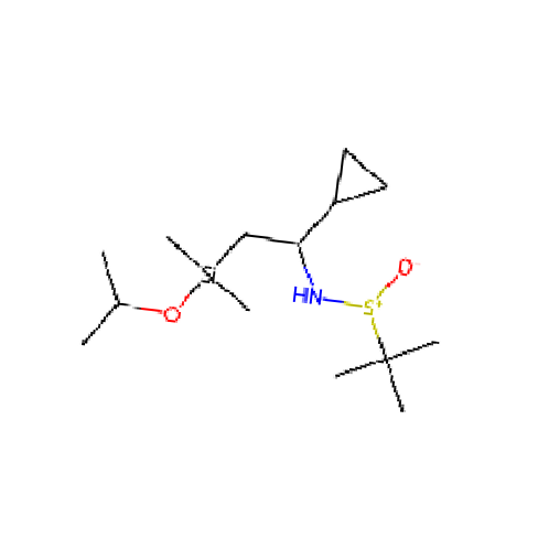 CC(C)O[Si](C)(C)CC(N[S+]([O-])C(C)(C)C)C1CC1